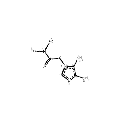 CCN(CC)C(=O)Cn1[c]nc(C)c1C